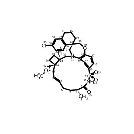 CO[C@H]1/C=C/CC[C@@H](C)C(=O)NS(=O)(=O)c2ccc3c(c2)N(C[C@@H]2CC[C@H]21)C[C@@]1(CCCc2cc(Cl)ccc21)CO3